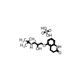 CC(C)(C)NCC(O)COc1cccc2c1CCC(=O)N2.O=S(=O)(O)O